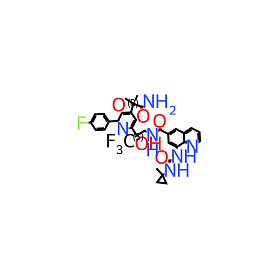 CC1(NC(=O)Nc2cc(C(=O)NC[C@](O)(c3cc4c(c(-c5ccc(F)cc5)n3)OC[C@]4(C)C(N)=O)C(F)(F)F)cc3cccnc23)CC1